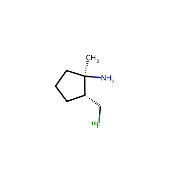 C[C@@]1(N)CCC[C@H]1C[18F]